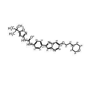 CC(C)(C)c1cc(NC(=O)Nc2ccc(-c3cc4ncc(OCCN5CCOCC5)cn4n3)cc2)no1